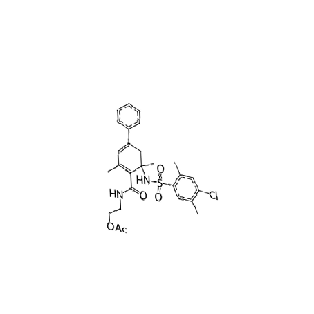 CC(=O)OCCNC(=O)C1=C(C)C=C(c2ccccc2)CC1(C)NS(=O)(=O)c1cc(C)c(Cl)cc1C